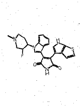 CN1CCC(n2cc(C3=C(c4c[nH]c5sccc45)C(=O)NC3=O)c3ccccc32)C(F)C1